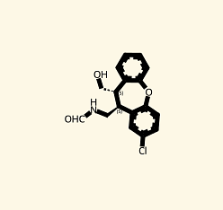 O=CNC[C@@H]1c2cc(Cl)ccc2Oc2ccccc2[C@H]1CO